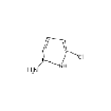 NN1C=CC=C(Cl)N1